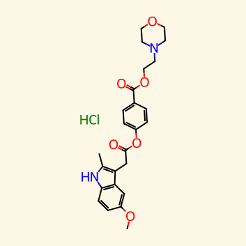 COc1ccc2[nH]c(C)c(CC(=O)Oc3ccc(C(=O)OCCN4CCOCC4)cc3)c2c1.Cl